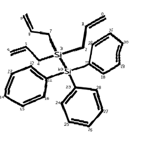 C=CC[Si](CC=C)(CC=C)[Si](c1ccccc1)(c1ccccc1)c1ccccc1